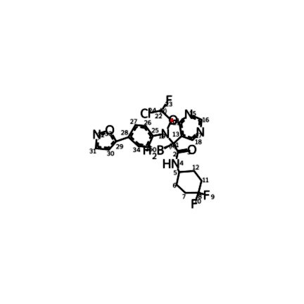 B[C@](C(=O)NC1CCC(F)(F)CC1)(c1cncnc1)N(C(=O)[C@H](F)Cl)c1ccc(-c2ccno2)cc1